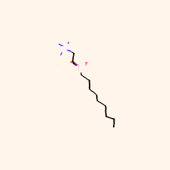 CCCCCCCCC/[P+]([O-])=C(\O)C[N+](C)(C)C